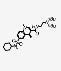 C=C1C(C(=O)NCCN(CCCC)CCCC)=CN(C)c2ccc(S(=O)(=O)N(C)C3CCCCC3)cc21